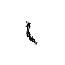 CC(=O)N1C[C@@H](C)N(CCOc2ccc(-c3ccc4cc(Br)ccc4n3)cc2)[C@@H](C)C1